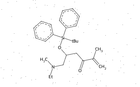 C=C(C)C(=O)CC(CN(C)CC)O[Si](c1ccccc1)(c1ccccc1)C(C)(C)C